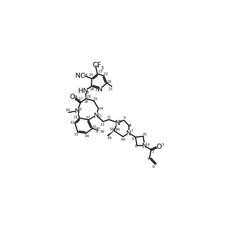 C=CC(=O)N1CC(N2CCN(CCN3CC[C@H](Nc4nc(C)cc(C(F)(F)F)c4C#N)C(=O)N(C)c4cccc(F)c43)[C@H](C)C2)C1